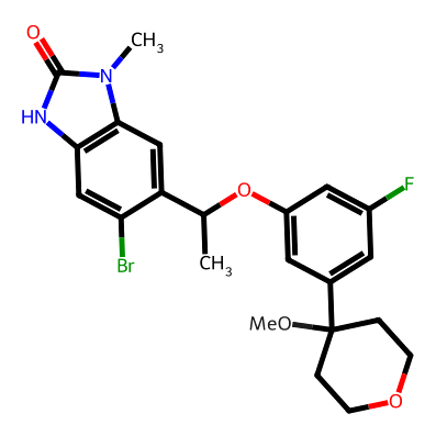 COC1(c2cc(F)cc(OC(C)c3cc4c(cc3Br)[nH]c(=O)n4C)c2)CCOCC1